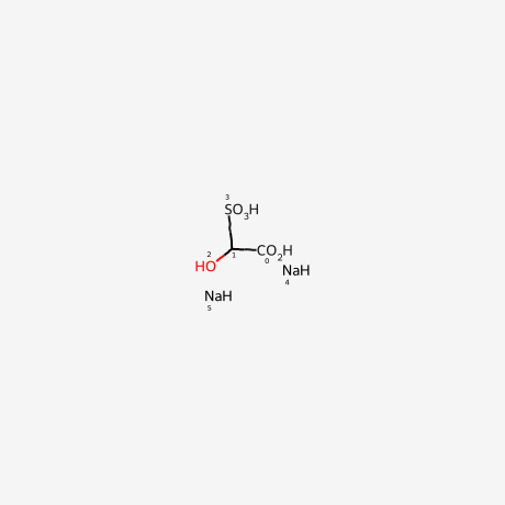 O=C(O)C(O)S(=O)(=O)O.[NaH].[NaH]